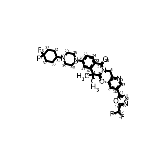 CC1(C)C(=O)N(Cc2ccc(-c3nnc(C(F)F)o3)cn2)C(=O)c2ccc(N3CCN(C4CCC(F)(F)CC4)CC3)cc21